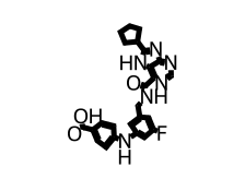 O=C(O)c1ccc(Nc2cc(F)cc(CNC(=O)c3ncnc4nc(C5CCCC5)[nH]c34)c2)cc1